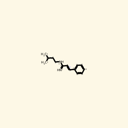 CC(C)CCNC(=N)/C=C/c1ccccc1